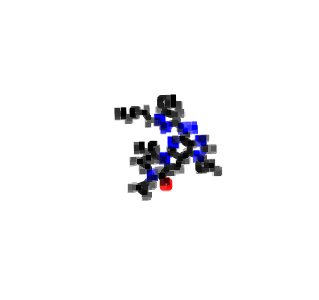 CCCn1nc(Nc2nc3c(cc(C(=O)N(C4CC4)C4CC4)n3CC)c3c2ncn3C)cc1C